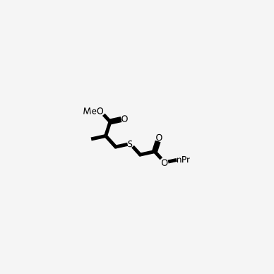 CCCOC(=O)CSCC(C)C(=O)OC